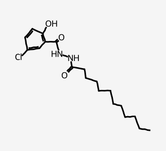 CCCCCCCCCCCC(=O)NNC(=O)c1cc(Cl)ccc1O